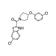 O=C(c1cc2cc(Cl)ccc2[nH]1)N1CCC(Oc2cccc(Cl)c2)CC1